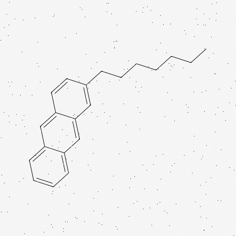 CCCCCCCc1ccc2cc3ccccc3cc2c1